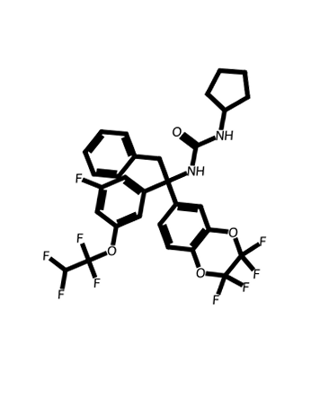 O=C(NC1CCCC1)NC(Cc1ccccc1)(c1cc(F)cc(OC(F)(F)C(F)F)c1)c1ccc2c(c1)OC(F)(F)C(F)(F)O2